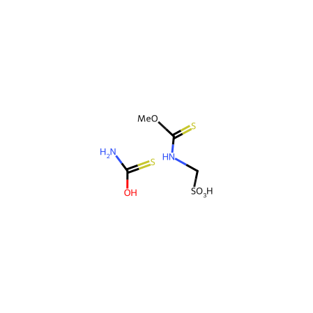 COC(=S)NCS(=O)(=O)O.NC(O)=S